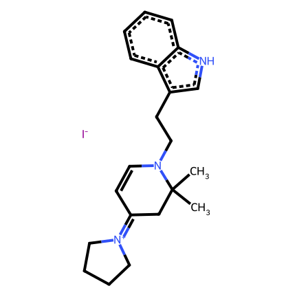 CC1(C)CC(=[N+]2CCCC2)C=CN1CCc1c[nH]c2ccccc12.[I-]